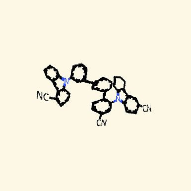 N#Cc1ccc(-c2cccc(-c3cccc(-n4c5ccccc5c5c(C#N)cccc54)c3)c2)c(-n2c3c(c4cc(C#N)ccc42)CCC=C3)c1